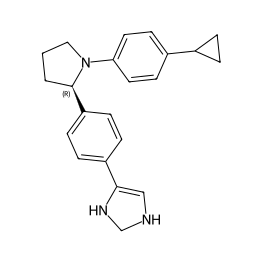 C1=C(c2ccc([C@H]3CCCN3c3ccc(C4CC4)cc3)cc2)NCN1